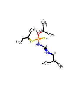 CCC(C)SP(=S)(NC=NCC(C)C)OC(C)C